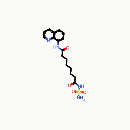 NS(=O)(=O)NC(=O)CCCCCCC(=O)Nc1cccc2cccnc12